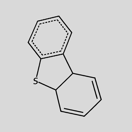 C1=CC2Sc3ccccc3C2C=C1